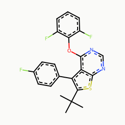 CC(C)(C)c1sc2ncnc(Oc3c(F)cccc3F)c2c1-c1ccc(F)cc1